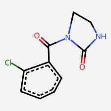 O=C1NCCN1C(=O)c1ccccc1Cl